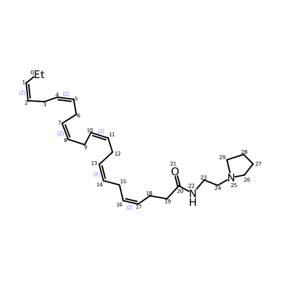 CC/C=C\C/C=C\C/C=C\C/C=C\C/C=C\C/C=C\CCC(=O)NCCN1CCCC1